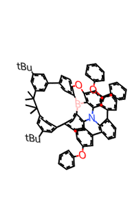 CC(C)(C)c1cc2cc(c1)C(C)(C)C(C)(C)c1cc(cc(C(C)(C)C)c1)-c1ccc3c(c1)B1c4cc-2ccc4Oc2cc(-c4ccccc4)cc(c21)N3c1c(-c2cccc(Oc3ccccc3)c2)cccc1-c1cccc(Oc2ccccc2)c1